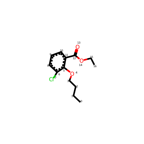 CCCCOc1c(Cl)cccc1C(=O)OCC